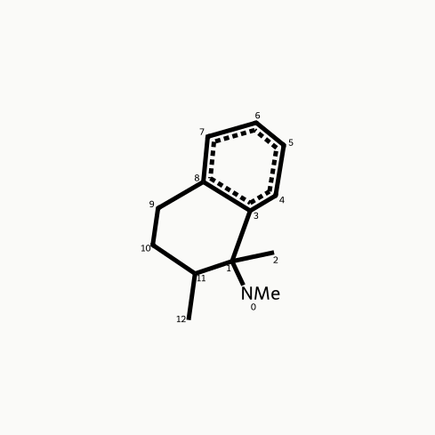 CNC1(C)c2ccccc2CCC1C